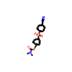 CN(C)C(=O)Sc1ccc(S(=O)(=O)c2ccc(C#N)cc2)cc1